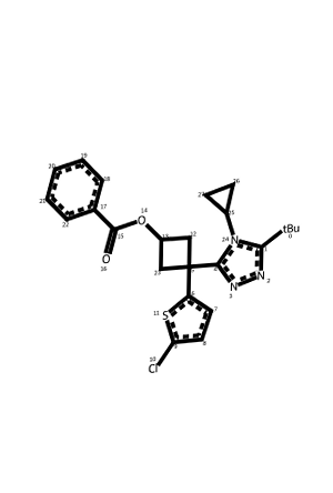 CC(C)(C)c1nnc(C2(c3ccc(Cl)s3)CC(OC(=O)c3ccccc3)C2)n1C1CC1